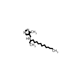 CCCCCCCCCCCCC(CC)NCc1cncnc1C